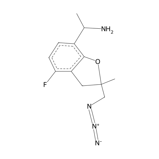 CC(N)c1ccc(F)c2c1OC(C)(CN=[N+]=[N-])C2